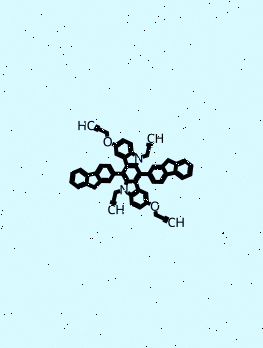 C#CCOc1ccc2c(c1)c1c(-c3ccc4c(c3)Cc3ccccc3-4)c3c(c(-c4ccc5c(c4)Cc4ccccc4-5)c1n2CC#C)c1cc(OCC#C)ccc1n3CC#C